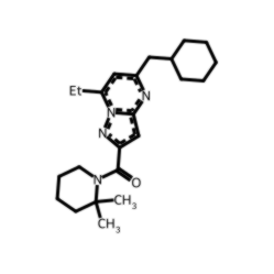 CCc1cc(CC2CCCCC2)nc2cc(C(=O)N3CCCCC3(C)C)nn12